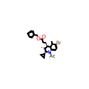 CC(=O)N1C2=CC=C(Br)C(C)C2[C@H](CCC(=O)OCc2c#cccc2)[C@@H](C)[C@@H]1C1CC1